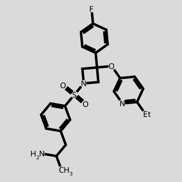 CCc1ccc(OC2(c3ccc(F)cc3)CN(S(=O)(=O)c3cccc(CC(C)N)c3)C2)cn1